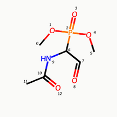 COP(=O)(OC)C(C=O)NC(C)=O